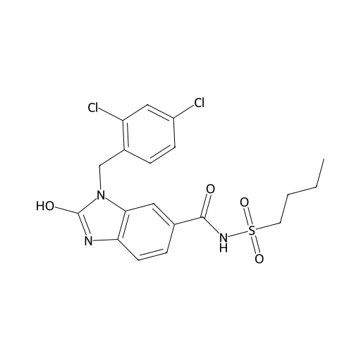 CCCCS(=O)(=O)NC(=O)c1ccc2nc(O)n(Cc3ccc(Cl)cc3Cl)c2c1